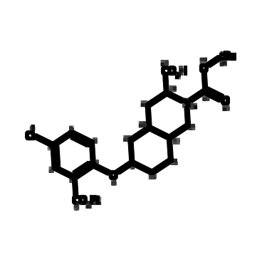 CCOC(=O)c1cc(Cl)ccc1OC1CCC2CN(C(=O)OC(C)(C)C)C(C(=O)O)CC2C1